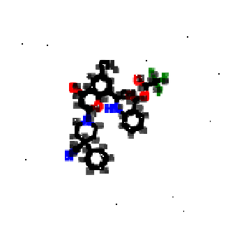 Cc1cc(C(C)Nc2ccccc2C(=O)OC(=O)C(F)(F)F)c2oc(N3CCC(C#N)(c4ccccc4)CC3)cc(=O)c2c1